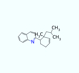 CC(C)CC1(C)C=CCCC1c1ccc2ccccc2n1